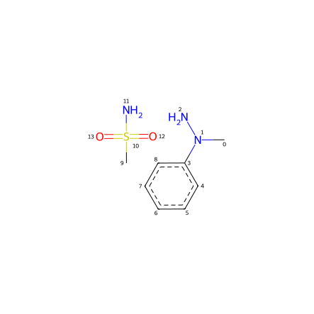 CN(N)c1ccccc1.CS(N)(=O)=O